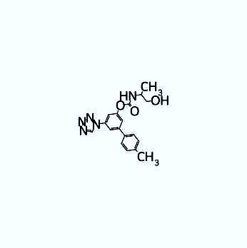 Cc1ccc(-c2cc(OC(=O)NC(C)CO)cc(-n3cnnn3)c2)cc1